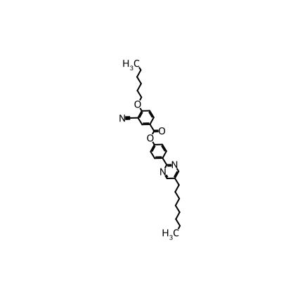 CCCCCCCCc1cnc(-c2ccc(OC(=O)c3ccc(OCCCCCC)c(C#N)c3)cc2)nc1